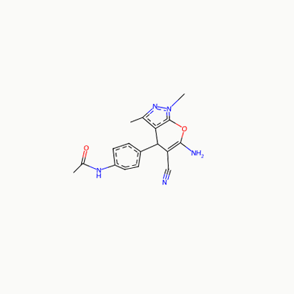 CC(=O)Nc1ccc(C2C(C#N)=C(N)Oc3c2c(C)nn3C)cc1